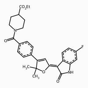 CCOC(=O)C1CCN(C(=O)c2ccc(C3=CC(=C4C(=O)Nc5cc(F)ccc54)OC3(C)C)cc2)CC1